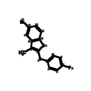 Cc1c(Sc2ccc(F)cc2)sc2ccc(Br)cc12